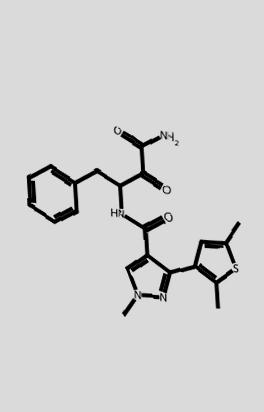 Cc1cc(-c2nn(C)cc2C(=O)NC(Cc2ccccc2)C(=O)C(N)=O)c(C)s1